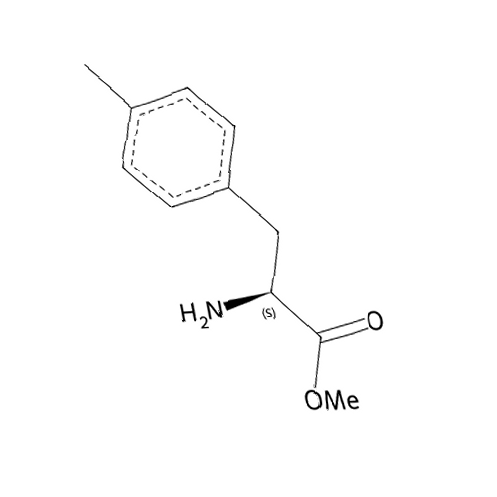 COC(=O)[C@@H](N)Cc1ccc(C)cc1